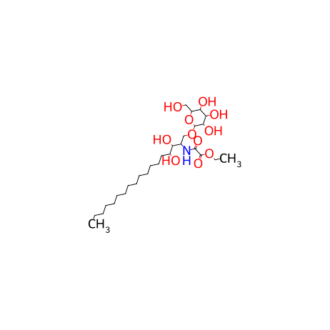 CCCCCCCCCCCCCCC(O)C(O)C(COC1OC(CO)C(O)C(O)C1O)NC(=O)C(=O)OCC